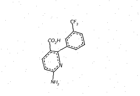 Nc1ccc(C(=O)O)c(-c2cccc(C(F)(F)F)c2)n1